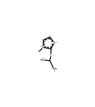 CCCC(O)Cc1nccn1C